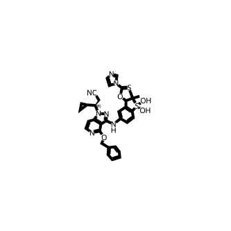 CC1(C)C(OC(=S)n2ccnc2)c2cc(Nc3nn([C@H](CC#N)C4CC4)c4ccnc(OCc5ccccc5)c34)ccc2S1(O)O